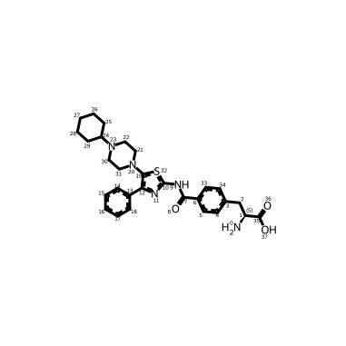 N[C@@H](Cc1ccc(C(=O)Nc2nc(-c3ccccc3)c(N3CCN(C4CCCCC4)CC3)s2)cc1)C(=O)O